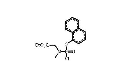 CCOC(=O)CN(C)P(=O)(Cl)Oc1cccc2ccccc12